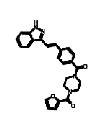 O=C(c1ccc(C=Cc2n[nH]c3ccccc23)cc1)N1CCN(C(=O)c2ccco2)CC1